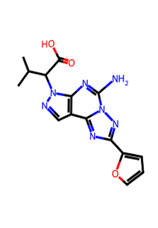 CC(C)C(C(=O)O)n1ncc2c1nc(N)n1nc(-c3ccco3)nc21